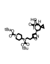 CC(C)(C)OC(=O)N1CCC(N(CCc2cc([C@@H]3CC4(CC4)[C@H]4CN3C(=O)N4O)no2)C(=O)OC(C)(C)C)CC1